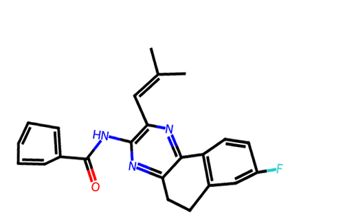 CC(C)=Cc1nc2c(nc1NC(=O)c1ccccc1)CCc1cc(F)ccc1-2